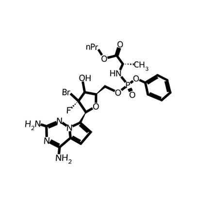 CCCOC(=O)[C@H](C)NP(=O)(OC[C@H]1O[C@@H](c2ccc3c(N)nc(N)nn23)[C@@](F)(Br)C1O)Oc1ccccc1